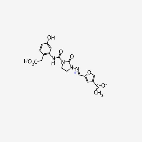 C[S+]([O-])c1coc(/C=N/N2CCN(C(=O)Nc3cc(O)ccc3CC(=O)O)C2=O)c1